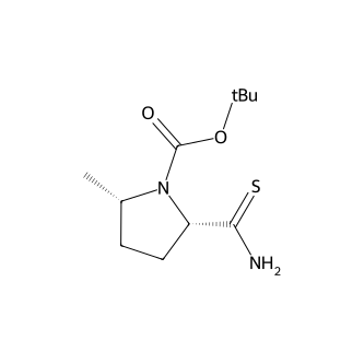 C[C@H]1CC[C@@H](C(N)=S)N1C(=O)OC(C)(C)C